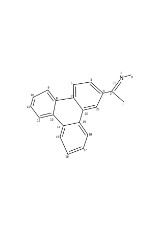 C/N=C(\C)c1ccc2c3ccccc3c3ccccc3c2c1